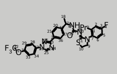 CC(C)c1cc(F)ccc1N1CCS/C1=N\C(=O)NC(C)c1ccc(-c2ncn(-c3ccc(OC(F)(F)F)cc3)n2)cc1